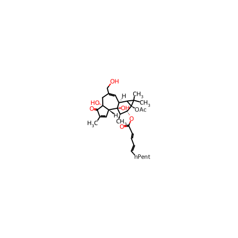 CCCCC/C=C/C=C/C(=O)O[C@@H]1[C@@H](C)[C@@]2(O)[C@@H](C=C(CO)C[C@]3(O)C(=O)C(C)=C[C@@H]23)C2C(C)(C)[C@@]21OC(C)=O